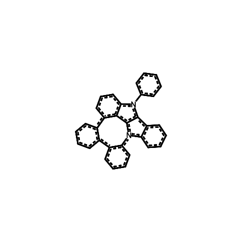 c1ccc(-n2c3cccc4c5ccccc5c5ccccc5n5c6ccccc6c2c5c43)cc1